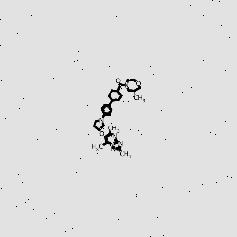 Cc1nc2nc(C)c(O[C@@H]3CCN(c4ccc(C5CCC(C(=O)N6CCOC[C@H](C)C6)CC5)cc4)C3)c(C)n2n1